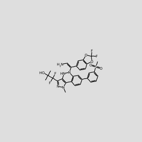 Cn1nc(C(F)(F)C(C)(C)O)c2c1-c1ccc(-c3cccc(S(C)(=O)=O)c3)cc1N(/C(=C\N)c1ccc3c(c1)OC(F)(F)O3)N2